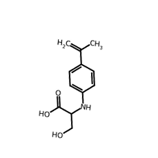 C=C(C)c1ccc(NC(CO)C(=O)O)cc1